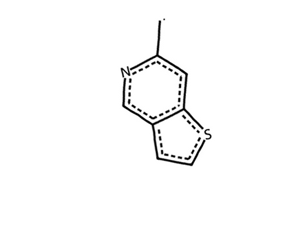 [CH2]c1cc2sccc2cn1